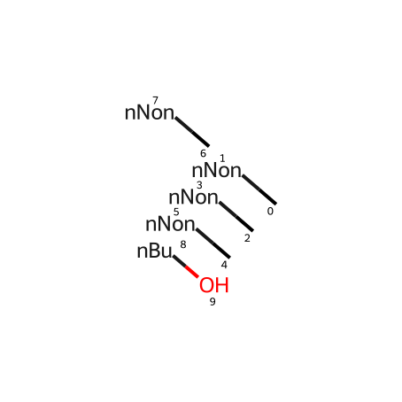 CCCCCCCCCC.CCCCCCCCCC.CCCCCCCCCC.CCCCCCCCCC.CCCCO